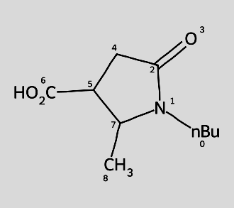 CCCCN1C(=O)CC(C(=O)O)C1C